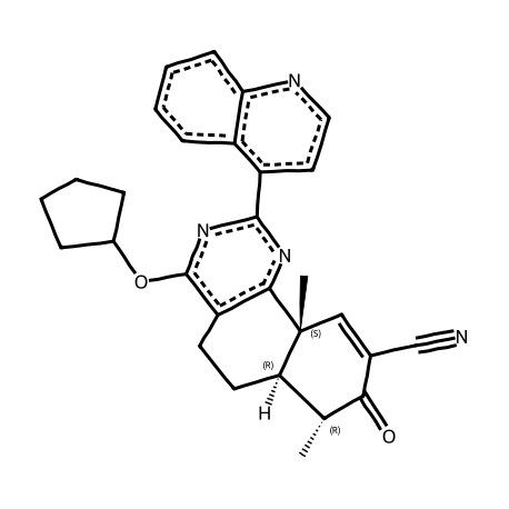 C[C@H]1C(=O)C(C#N)=C[C@@]2(C)c3nc(-c4ccnc5ccccc45)nc(OC4CCCC4)c3CC[C@H]12